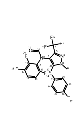 Cn1nc(C(F)(F)F)c(N(C=O)c2c(F)ccc(F)c2F)c1Sc1ccc(F)cc1